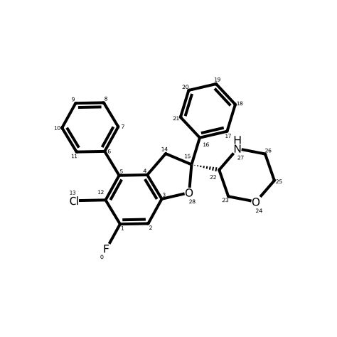 Fc1cc2c(c(-c3ccccc3)c1Cl)C[C@](c1ccccc1)(C1COCCN1)O2